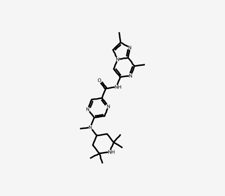 Cc1cn2cc(NC(=O)c3cnc(N(C)C4CC(C)(C)NC(C)(C)C4)cn3)nc(C)c2n1